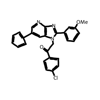 COc1cccc(-c2nc3ncc(-c4ccccc4)cc3n2CC(=O)c2ccc(Cl)cc2)c1